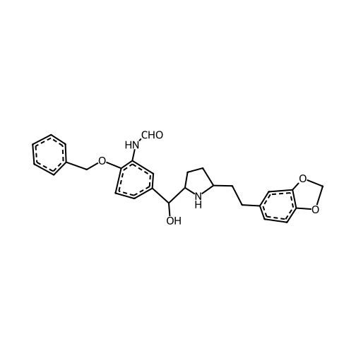 O=CNc1cc(C(O)C2CCC(CCc3ccc4c(c3)OCO4)N2)ccc1OCc1ccccc1